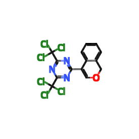 ClC(Cl)(Cl)c1nc(C2=COCc3ccccc32)nc(C(Cl)(Cl)Cl)n1